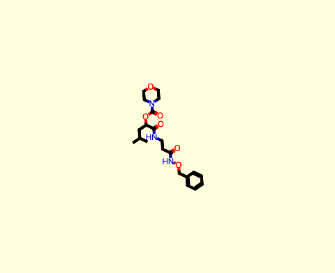 CC(C)CC(OC(=O)N1CCOCC1)C(=O)NCCC(=O)NOCc1ccccc1